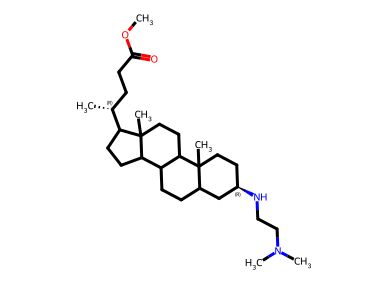 COC(=O)CC[C@@H](C)C1CCC2C3CCC4C[C@H](NCCN(C)C)CCC4(C)C3CCC21C